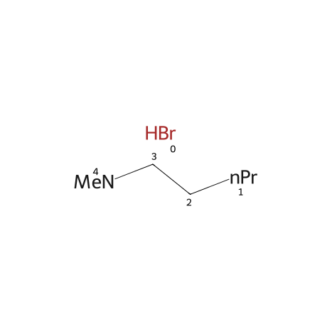 Br.CCCCCNC